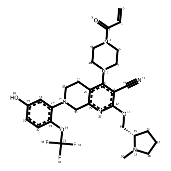 C=CC(=O)N1CCN(c2c(C#N)c(OC[C@@H]3CCCN3C)nc3c2CCN(c2cc(O)ccc2OC(F)(F)F)C3)CC1